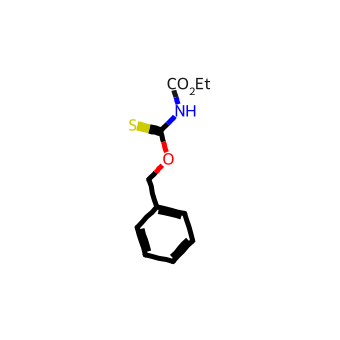 CCOC(=O)NC(=S)OCc1ccccc1